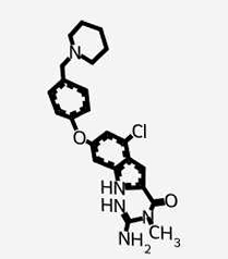 CN(C(=N)N)C(=O)c1cc2c(Cl)cc(Oc3ccc(CN4CCCCC4)cc3)cc2[nH]1